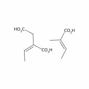 CC=C(C)C(=O)O.CC=C(CC(=O)O)C(=O)O